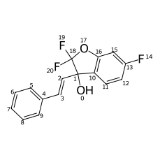 OC1(C=Cc2ccccc2)c2ccc(F)cc2OC1(F)F